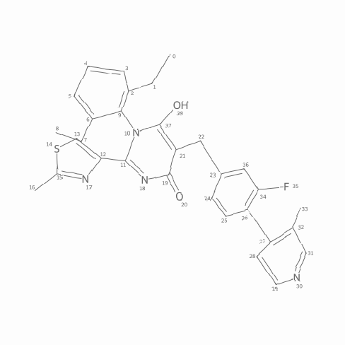 CCc1cccc(CC)c1-n1c(-c2csc(C)n2)nc(=O)c(Cc2ccc(-c3ccncc3C)c(F)c2)c1O